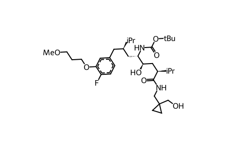 COCCCOc1cc(C[C@H](C[C@H](NC(=O)OC(C)(C)C)[C@H](O)C[C@H](C(=O)NCC2(CO)CC2)C(C)C)C(C)C)ccc1F